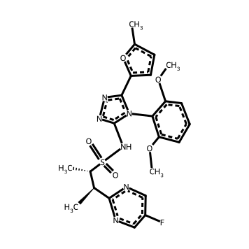 COc1cccc(OC)c1-n1c(NS(=O)(=O)[C@@H](C)[C@H](C)c2ncc(F)cn2)nnc1-c1ccc(C)o1